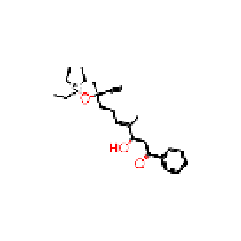 C#C[C@](C)(CC/C=C(\C)C(O)CC(=O)c1ccccc1)O[Si](CC)(CC)CC